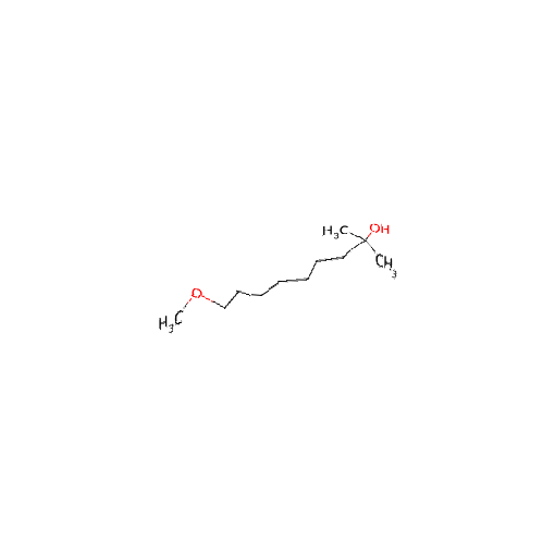 COCCCCCCCC(C)(C)O